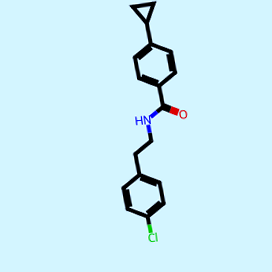 O=C(NCCc1ccc(Cl)cc1)c1ccc(C2CC2)cc1